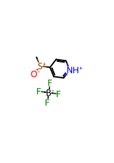 C[S+]([O-])c1cc[nH+]cc1.F[B-](F)(F)F